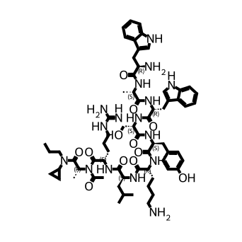 CCCN(C(=O)[C@@H](C)N(C(C)=O)C(=O)[C@H](CCCNC(=N)N)NC(=O)[C@H](CC(C)C)NC(=O)[C@@H](CCCCN)NC(=O)[C@H](Cc1ccc(O)cc1)NC(=O)[C@H](CO)NC(=O)[C@@H](Cc1c[nH]c2ccccc12)NC(=O)[C@H](C)NC(=O)[C@H](N)Cc1c[nH]c2ccccc12)C1CC1